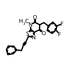 CN1C(=O)C(Cc2ccc(F)c(F)c2)C(=O)c2nc(C#CCc3ccccc3)sc21